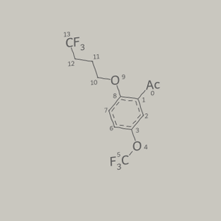 CC(=O)c1cc(OC(F)(F)F)ccc1OCCCC(F)(F)F